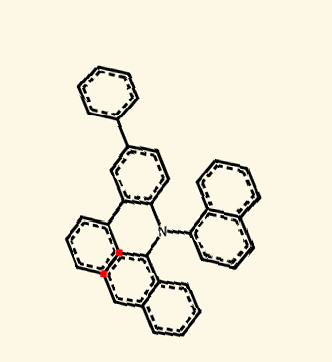 c1ccc(-c2ccc(N(c3cccc4ccccc34)c3cccc4ccccc34)c(-c3ccccc3)c2)cc1